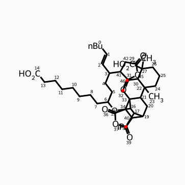 CCCC/C=C/C(CCC(CCCCCCCC(=O)O)OC1C(C(C)C)C2CC3C4(C)CCCC(C)(C(=O)O)C4CCC13C1C(=O)OC(=O)C21)C1CC(=O)OC1=O